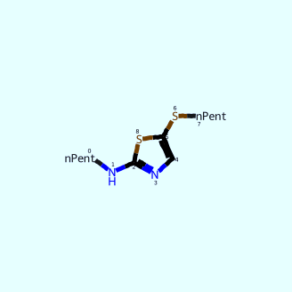 CCCCCNc1ncc(SCCCCC)s1